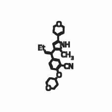 CC/C=C(/c1ccc(OC2CCOCC2)c(C#N)c1)c1cc(C2=CCOCC2)[nH]c1C